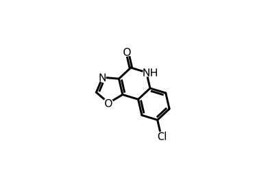 O=c1[nH]c2ccc(Cl)cc2c2ocnc12